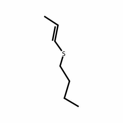 C/C=C/SCCCC